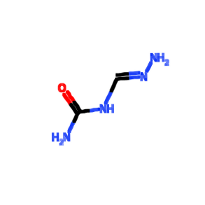 NN=CNC(N)=O